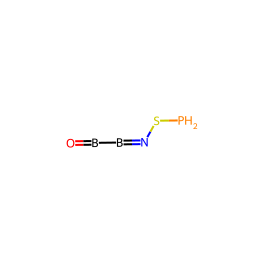 O=B/B=N/SP